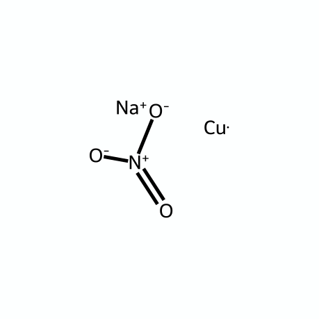 O=[N+]([O-])[O-].[Cu].[Na+]